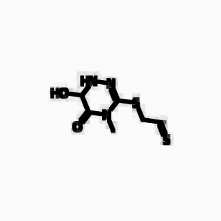 CN1C(=O)C(O)NN=C1SC[C]=S